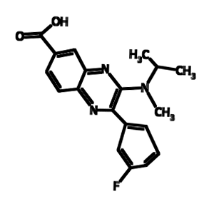 CC(C)N(C)c1nc2cc(C(=O)O)ccc2nc1-c1cccc(F)c1